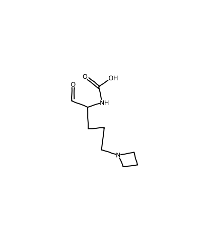 O=CC(CCCN1CCC1)NC(=O)O